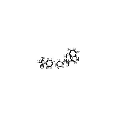 C[C@@H](NC1CC[C@H](c2ccc(S(C)(=O)=O)cc2)C1)c1cnc2ccccn12